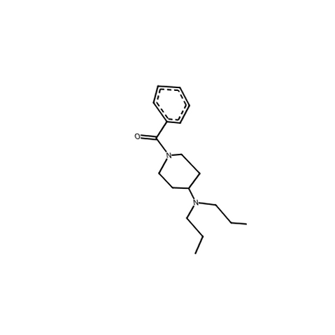 CCCN(CCC)C1CCN(C(=O)c2ccccc2)CC1